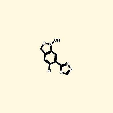 OB1OCc2cc(Cl)c(-c3nnco3)cc21